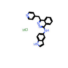 Cl.c1ccc2c(Nc3ccc4[nH]ccc4c3)nnc(Cc3ccncc3)c2c1